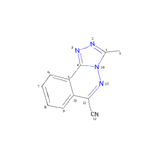 Cc1nnc2c3ccccc3c(C#N)nn12